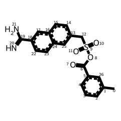 Cc1cccc(C(=O)OS(=O)(=O)Cc2ccc3cc(C(=N)N)ccc3c2)c1